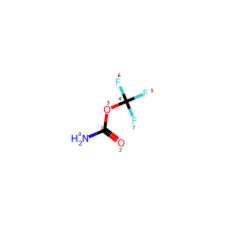 NC(=O)OC(F)(F)F